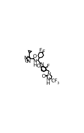 O=C(N[C@H](c1nc2c(F)c(CN3C[C@@H](C(F)(F)F)NC3=O)ccc2o1)C1CCC(F)(F)CC1)c1nonc1C1CC1